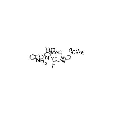 COCCn1c(Cc2ccc(-c3cccc(OCc4ccccc4N)n3)cc2F)nc2ccc(C(=O)OC)cc21.Cl